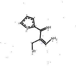 CC(C)C/C(=C/N)C(=N)c1cccs1